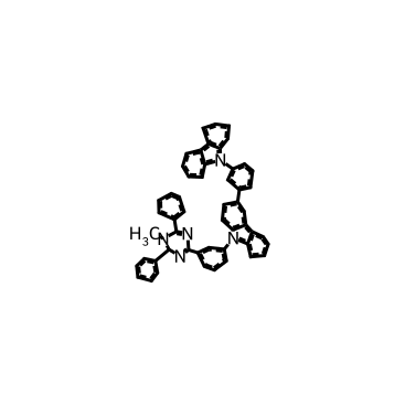 CN1C(c2ccccc2)=NC(c2cccc(-n3c4ccccc4c4cc(-c5cccc(-n6c7ccccc7c7ccccc76)c5)ccc43)c2)=NC1c1ccccc1